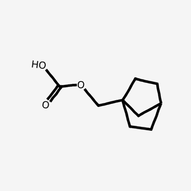 O=C(O)OCC12CCC(CC1)C2